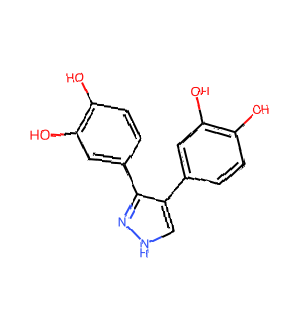 Oc1ccc(-c2c[nH]nc2-c2ccc(O)c(O)c2)cc1O